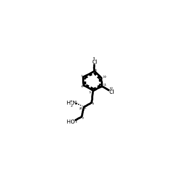 N[C@@H](CO)Cc1ccc(Cl)cc1Cl